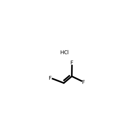 Cl.FC=C(F)F